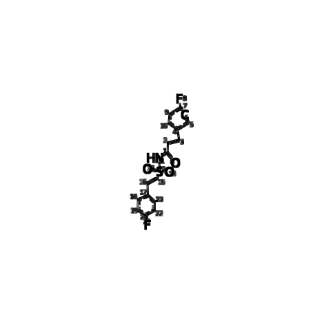 O=C(/C=C/c1ccc(F)cc1)NS(=O)(=O)/C=C/c1ccc(F)cc1